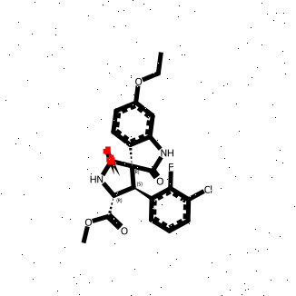 CCOc1ccc2c(c1)NC(=O)[C@]21[C@@H](c2cccc(Cl)c2F)[C@H](C(=O)OC)NC12CCCCC2